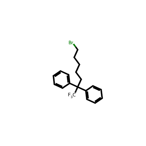 FC(F)(F)C(CCCCCBr)(c1ccccc1)c1ccccc1